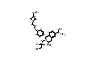 C[C@@H]1Cc2cc([C@@H](C)O)ccc2[C@@H](c2ccc(OCCN3CC(CF)C3)cc2)N1CC(F)(F)CO